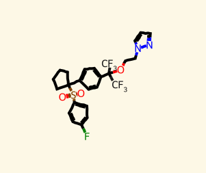 O=S(=O)(c1ccc(F)cc1)C1(c2ccc(C(OCCn3cccn3)(C(F)(F)F)C(F)(F)F)cc2)CCCC1